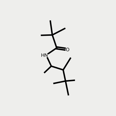 CC(NC(=O)C(C)(C)C)C(C)C(C)(C)C